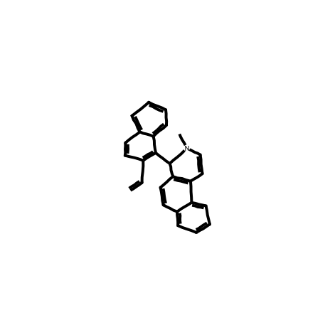 C=Cc1ccc2ccccc2c1C1c2ccc3ccccc3c2C=CN1C